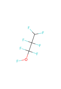 FOC(F)(F)C(F)(F)[C](F)F